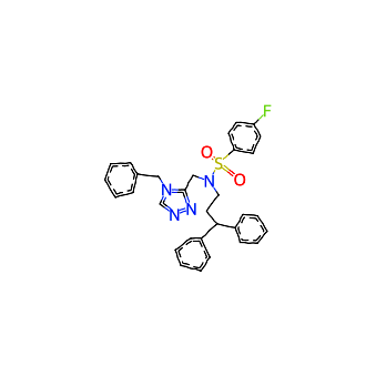 O=S(=O)(c1ccc(F)cc1)N(CCC(c1ccccc1)c1ccccc1)Cc1nncn1Cc1ccccc1